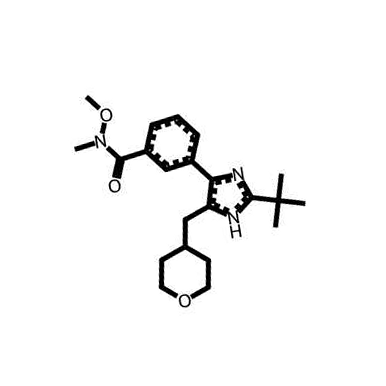 CON(C)C(=O)c1cccc(-c2nc(C(C)(C)C)[nH]c2CC2CCOCC2)c1